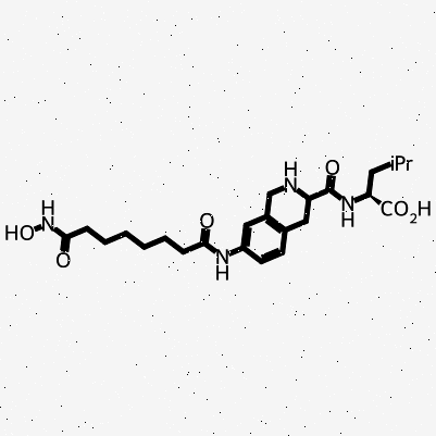 CC(C)C[C@H](NC(=O)C1Cc2ccc(NC(=O)CCCCCCC(=O)NO)cc2CN1)C(=O)O